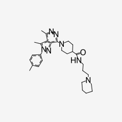 Cc1ccc(-n2nc3c(N4CCC(C(=O)NCCCN5CCCCC5)CC4)nnc(C)c3c2C)cc1